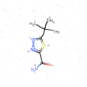 CC(C)(C=O)c1nnc(C(N)=O)s1